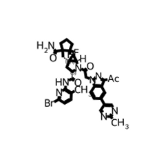 CC(=O)c1nn(CC(=O)N2[C@H](C(=O)Nc3nc(Br)ccc3C)C[C@@]3(CC4(C(N)=O)CCCC4(F)F)C[C@@H]23)c2ccc(-c3cnc(C)nc3)cc12